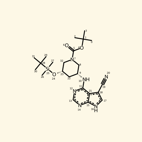 CC(C)(C)OC(=O)N1C[C@H](Nc2ncnc3[nH]cc(C#N)c23)C[C@H](O[Si](C)(C)C(C)(C)C)C1